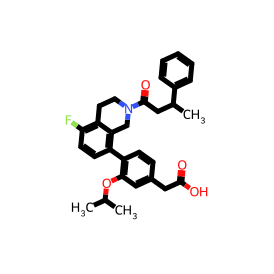 CC(C)Oc1cc(CC(=O)O)ccc1-c1ccc(F)c2c1CN(C(=O)CC(C)c1ccccc1)CC2